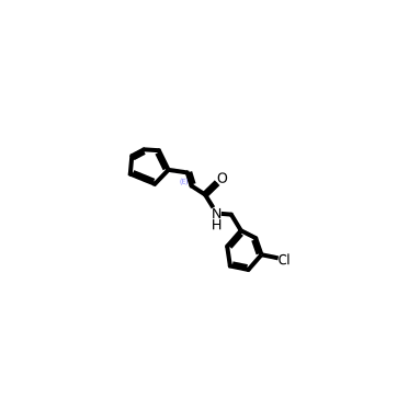 O=C(/C=C/c1ccccc1)NCc1cccc(Cl)c1